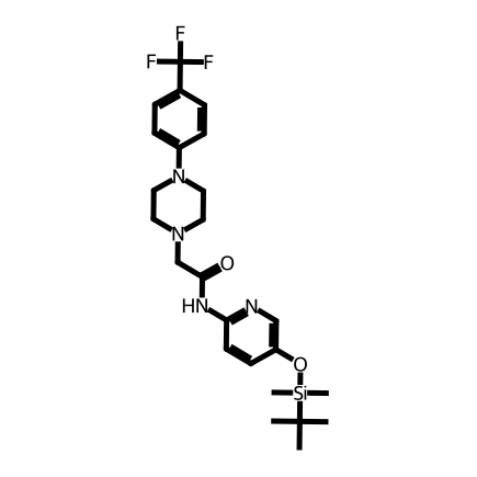 CC(C)(C)[Si](C)(C)Oc1ccc(NC(=O)CN2CCN(c3ccc(C(F)(F)F)cc3)CC2)nc1